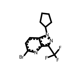 FC(F)(F)c1nn(C2CCCC2)c2ccc(Br)nc12